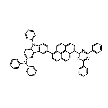 c1ccc(-c2nc(-c3ccccc3)nc(-c3ccc4ccc5c(-c6ccc7c(c6)c6cc(N(c8ccccc8)c8ccccc8)ccc6n7-c6ccccc6)ccc6ccc3c4c65)n2)cc1